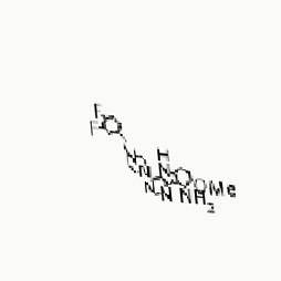 COc1ccc2[nH]c3c(N4CCN(CCc5ccc(F)c(F)c5)CC4)ncnc3c2c1N